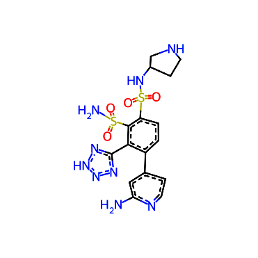 Nc1cc(-c2ccc(S(=O)(=O)NC3CCNC3)c(S(N)(=O)=O)c2-c2nn[nH]n2)ccn1